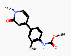 COc1cc(-c2ccn(C)c(=O)c2)ccc1NC(=O)OC(C)(C)C